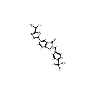 O=C1c2cc(-c3nnc(C(F)F)o3)cnc2CN1Cc1ccc(C(F)(F)F)cc1